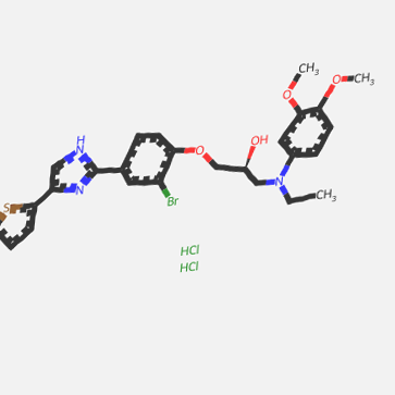 CCN(C[C@H](O)COc1ccc(-c2nc(-c3cccs3)c[nH]2)cc1Br)c1ccc(OC)c(OC)c1.Cl.Cl